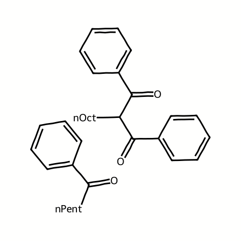 CCCCCC(=O)c1ccccc1.CCCCCCCCC(C(=O)c1ccccc1)C(=O)c1ccccc1